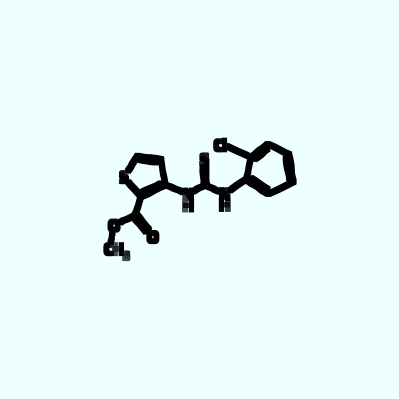 COC(=O)c1sccc1NC(=S)Nc1ccccc1Cl